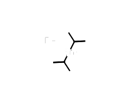 C[CH](C)[Sn+2][CH](C)C.[F-].[F-]